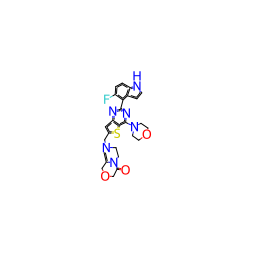 O=C1COCC2=CN(Cc3cc4nc(-c5c(F)ccc6[nH]ccc56)nc(N5CCOCC5)c4s3)CCN12